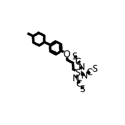 CC1CCC(c2ccc(OCCC[Si](N=C=S)(N=C=S)N=C=S)cc2)CC1